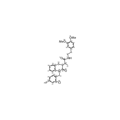 COc1ccc(CCNC(=O)C(C)C2Sc3ccccc3N(Cc3ccc(F)cc3Cl)C2=O)cc1OC